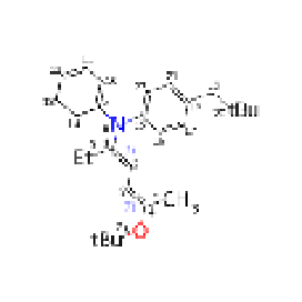 CC/C(=C\C=C(/C)OC(C)(C)C)N(C1=CC=CCC1)c1ccc(CC(C)(C)C)cc1